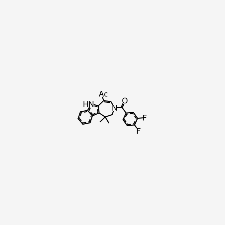 CC(=O)C1=CN(C(=O)c2ccc(F)c(F)c2)CC(C)(C)c2c1[nH]c1ccccc21